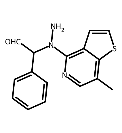 Cc1cnc(N(N)C(C=O)c2ccccc2)c2ccsc12